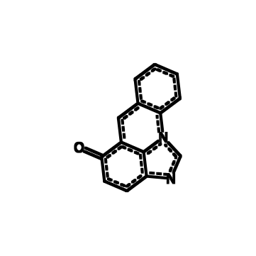 O=c1ccc2ncn3c4ccccc4cc1c23